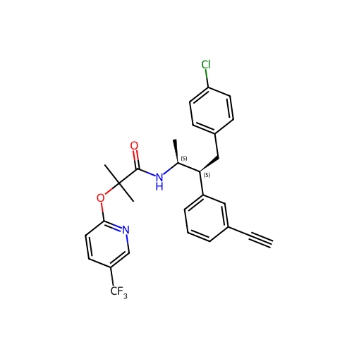 C#Cc1cccc([C@H](Cc2ccc(Cl)cc2)[C@H](C)NC(=O)C(C)(C)Oc2ccc(C(F)(F)F)cn2)c1